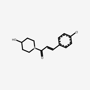 O=C(C=Cc1ccc(Cl)cc1)N1CCC(O)CC1